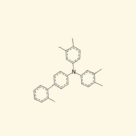 Cc1ccc(N(c2ccc(-c3ccccc3C)cc2)c2ccc(C)c(C)c2)cc1C